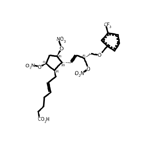 O=C(O)CCCC=CC[C@@H]1[C@@H](C=C[C@H](COc2cccc(C(F)(F)F)c2)O[N+](=O)[O-])[C@H](O[N+](=O)[O-])C[C@@H]1O[N+](=O)[O-]